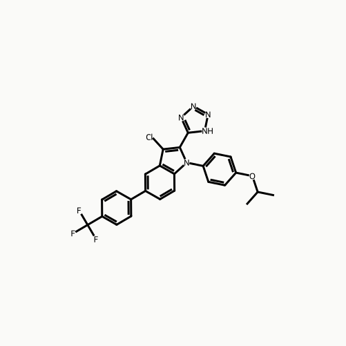 CC(C)Oc1ccc(-n2c(-c3nnn[nH]3)c(Cl)c3cc(-c4ccc(C(F)(F)F)cc4)ccc32)cc1